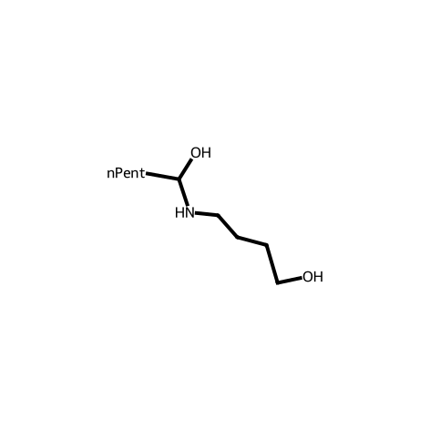 CCCCCC(O)NCCCCO